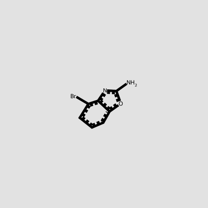 Nc1nc2c(Br)cccc2o1